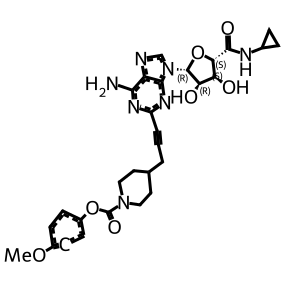 COc1ccc(OC(=O)N2CCC(CC#Cc3nc(N)c4ncn([C@@H]5O[C@H](C(=O)NC6CC6)[C@@H](O)[C@H]5O)c4n3)CC2)cc1